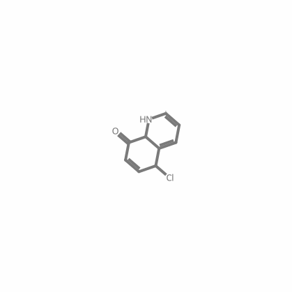 O=C1C=CC(Cl)C2=CC=[C]NC12